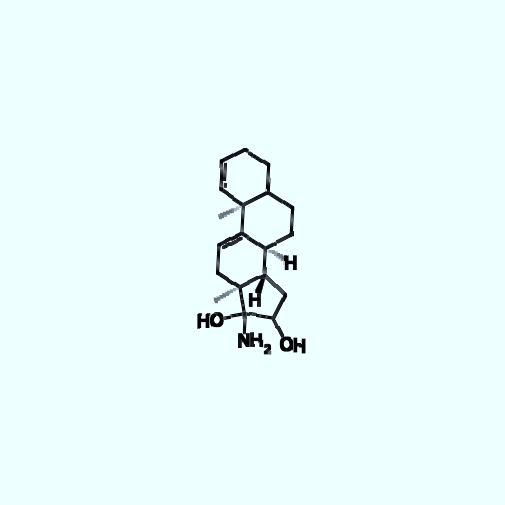 C[C@]12CC=C3[C@@H](CCC4CCC=C[C@]34C)[C@@H]1CC(O)C2(N)O